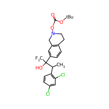 CC(c1ccc(Cl)cc1Cl)C(O)(c1ccc2c(c1)CN(OC(=O)OC(C)(C)C)CC2)C(F)(F)F